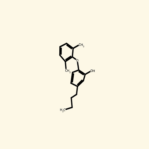 CCCCc1ccc(Oc2c(C)cccc2C)c(O)c1